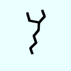 [CH2]CCCC[C](CC)CC